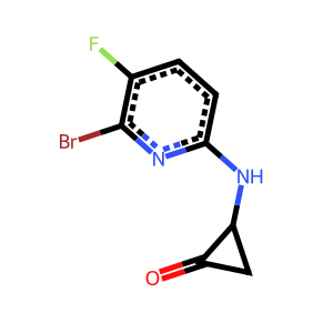 O=C1CC1Nc1ccc(F)c(Br)n1